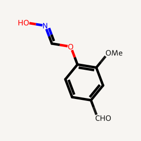 COc1cc(C=O)ccc1OC=NO